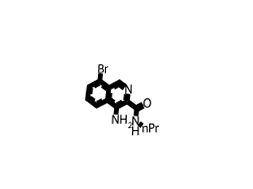 CCCNC(=O)c1ncc2c(Br)cccc2c1N